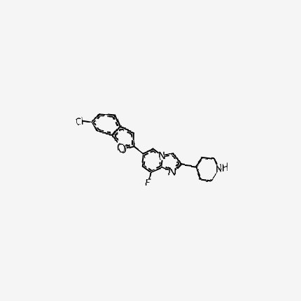 Fc1cc(-c2cc3ccc(Cl)cc3o2)cn2cc(C3CCNCC3)nc12